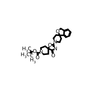 CC(C)(C)OC(=O)N1CCC2(CC1)OC(N1CCC3(CC1)OCc1ccccc13)=NC2=O